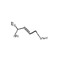 CCCCCC/C=[C]/C(CC)CCC